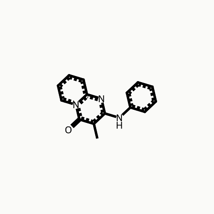 Cc1c(Nc2ccccc2)nc2ccccn2c1=O